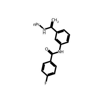 C=C(NCCC)c1cccc(NC(=O)c2ccc(F)cc2)c1